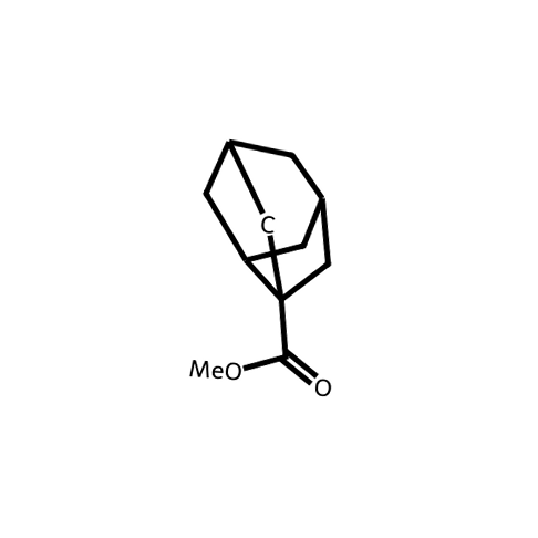 COC(=O)C12CC3CC(CC1C3)C2